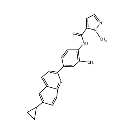 Cc1cc(-c2ccc3cc(C4CC4)ccc3n2)ccc1NC(=O)c1ccnn1C